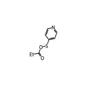 CCC(=O)OSc1ccncc1